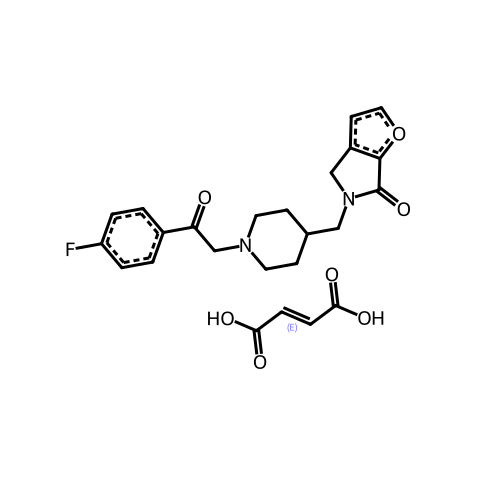 O=C(CN1CCC(CN2Cc3ccoc3C2=O)CC1)c1ccc(F)cc1.O=C(O)/C=C/C(=O)O